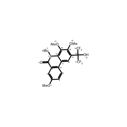 CCCCn1c(=O)c2cc(OC)ccc2c2cc(C(O)(C(F)(F)F)C(F)(F)F)c(OC)c(OC)c21